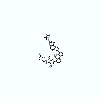 COc1nc(-c2cccc(-c3cccc(-c4ccn5c(=O)c(CNC6CC(C)(O)C6)cnc5c4)c3Cl)c2Cl)cc(Cl)c1CNC[C@H]1CCC(=O)N1